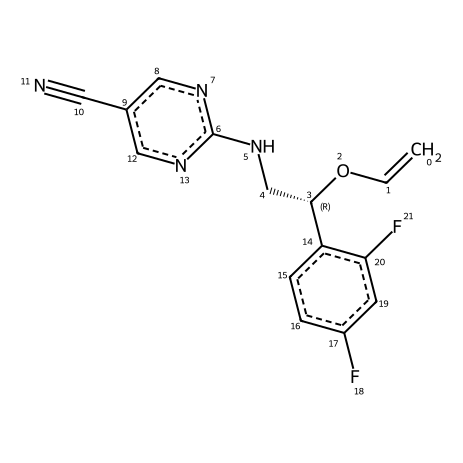 C=CO[C@@H](CNc1ncc(C#N)cn1)c1ccc(F)cc1F